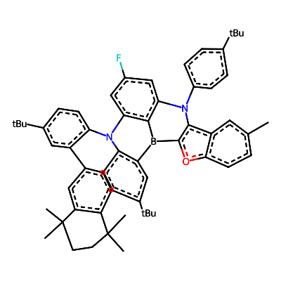 Cc1ccc2oc3c(c2c1)N(c1ccc(C(C)(C)C)cc1)c1cc(F)cc2c1B3c1cc(C(C)(C)C)ccc1N2c1ccc(C(C)(C)C)cc1-c1ccc2c(c1)C(C)(C)CCC2(C)C